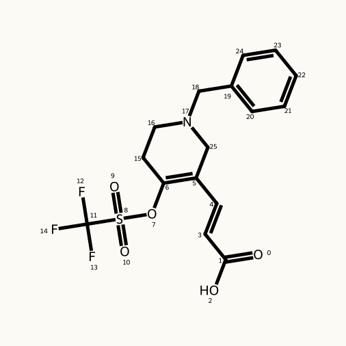 O=C(O)C=CC1=C(OS(=O)(=O)C(F)(F)F)CCN(Cc2ccccc2)C1